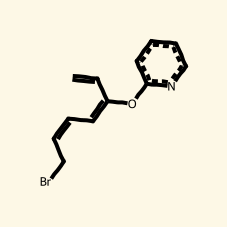 C=C/C(=C\C=C/CBr)Oc1ccccn1